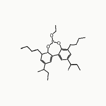 CCCCc1cc(C(C)CC)cc2c1OP(OCC)OC1C2=CC(C(C)CC)=CC1CCCC